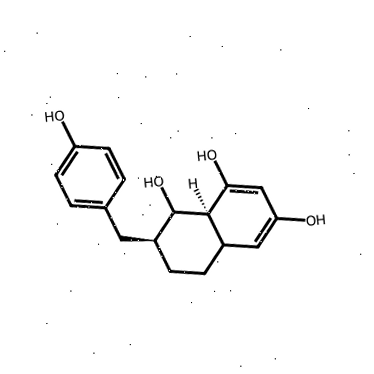 OC1=CC2CC[C@@H](Cc3ccc(O)cc3)C(O)[C@H]2C(O)=C1